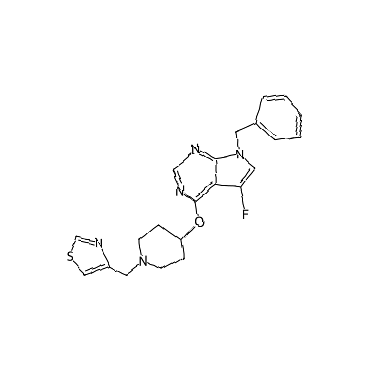 Fc1cn(Cc2ccccc2)c2ncnc(OC3CCN(Cc4cscn4)CC3)c12